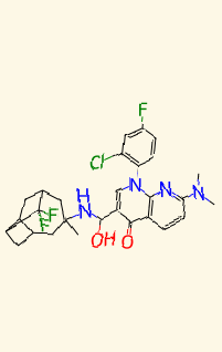 CN(C)c1ccc2c(=O)c(C(O)NC3(C)CC4CC5C4CC(C3)C5(F)F)cn(-c3ccc(F)cc3Cl)c2n1